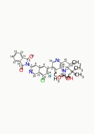 Cc1c(-c2cc3cc(N4C(=O)c5ccccc5C4=O)ncc3c(Cl)c2F)cnc2c1N(C(=O)O)C(C(C)(C)C)C(C)C2